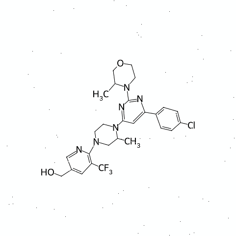 CC1CN(c2ncc(CO)cc2C(F)(F)F)CCN1c1cc(-c2ccc(Cl)cc2)nc(N2CCOCC2C)n1